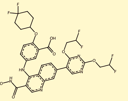 O=C(O)c1cc(Nc2c(C(=O)NO)cnc3cc(-c4cnc(OCC(F)F)nc4OCC(F)F)ccc23)ccc1OC1CCC(F)(F)CC1